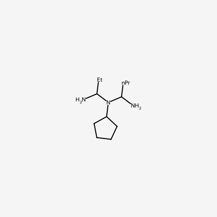 CCCC(N)N(C(N)CC)C1CCCC1